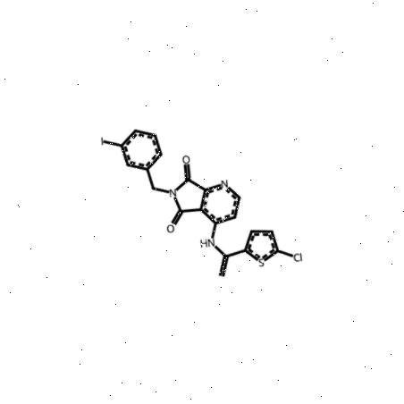 C=C(Nc1ccnc2c1C(=O)N(Cc1cccc(I)c1)C2=O)c1ccc(Cl)s1